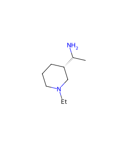 CCN1CCC[C@H](C(C)N)C1